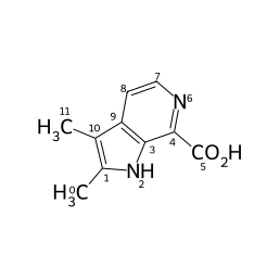 Cc1[nH]c2c(C(=O)O)nccc2c1C